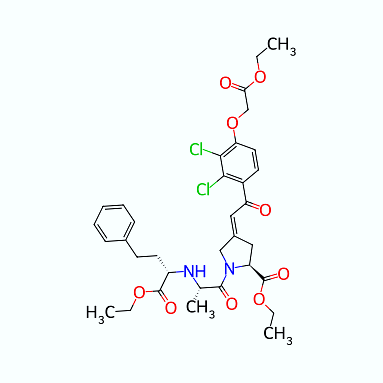 CCOC(=O)COc1ccc(C(=O)C=C2C[C@@H](C(=O)OCC)N(C(=O)[C@H](C)N[C@@H](CCc3ccccc3)C(=O)OCC)C2)c(Cl)c1Cl